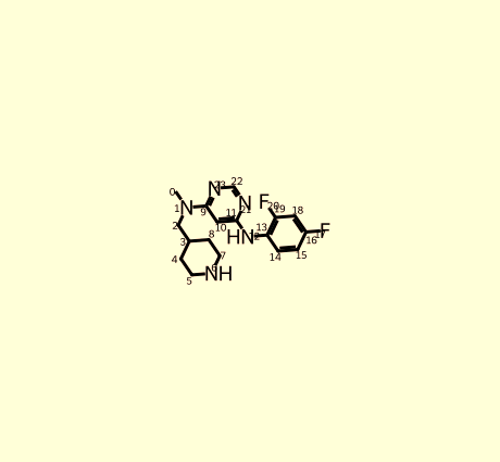 CN(CC1CCNCC1)c1cc(Nc2ccc(F)cc2F)ncn1